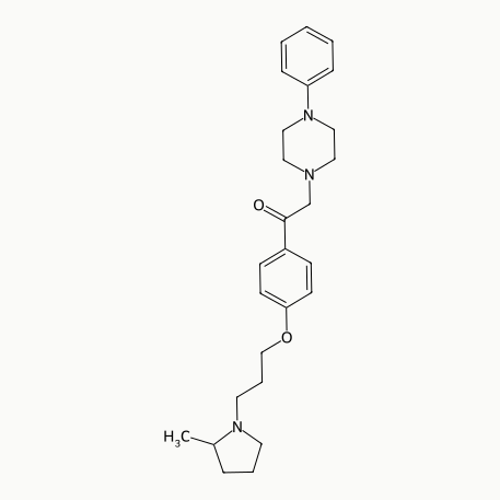 CC1CCCN1CCCOc1ccc(C(=O)CN2CCN(c3ccccc3)CC2)cc1